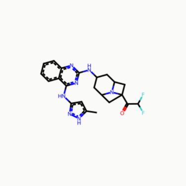 Cc1cc(Nc2nc(NC3CC4CC5(C(=O)C(F)F)CC(C3)N45)nc3ccccc23)n[nH]1